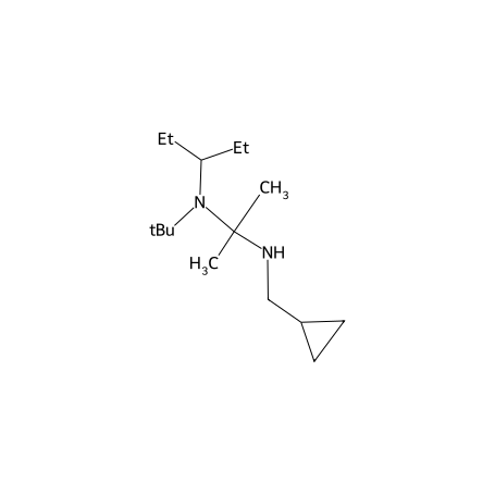 CCC(CC)N(C(C)(C)C)C(C)(C)NCC1CC1